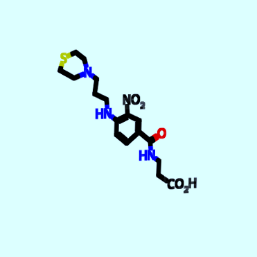 O=C(O)CCNC(=O)c1ccc(NCCCN2CCSCC2)c([N+](=O)[O-])c1